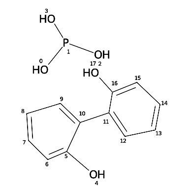 OP(O)O.Oc1ccccc1-c1ccccc1O